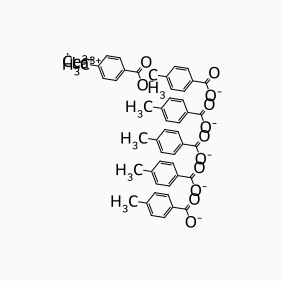 Cc1ccc(C(=O)[O-])cc1.Cc1ccc(C(=O)[O-])cc1.Cc1ccc(C(=O)[O-])cc1.Cc1ccc(C(=O)[O-])cc1.Cc1ccc(C(=O)[O-])cc1.Cc1ccc(C(=O)[O-])cc1.[Ce+3].[La+3]